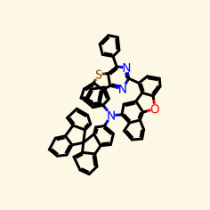 c1ccc(-c2nc(-c3cccc4oc5c6ccccc6c(N(c6ccccc6)c6ccc7c(c6)C6(c8ccccc8-c8ccccc86)c6ccccc6-7)cc5c34)nc3c2sc2ccccc23)cc1